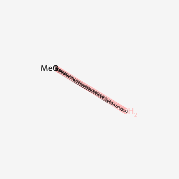 BB=BB=BB=BB=BB=BB=BB=BB=BB=BB=BB=BB=BB=BB=BB=BB=BB=BB=BB=BB=BOC